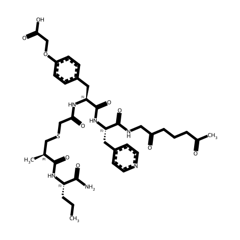 CCC[C@H](NC(=O)[C@@H](C)CSCC(=O)N[C@@H](Cc1ccc(OCC(=O)O)cc1)C(=O)N[C@@H](Cc1ccncc1)C(=O)NCC(=O)CCCC(C)=O)C(N)=O